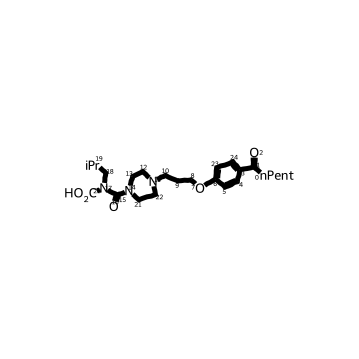 CCCCCC(=O)c1ccc(OCCCN2CCN(C(=O)N(CC(C)C)C(=O)O)CC2)cc1